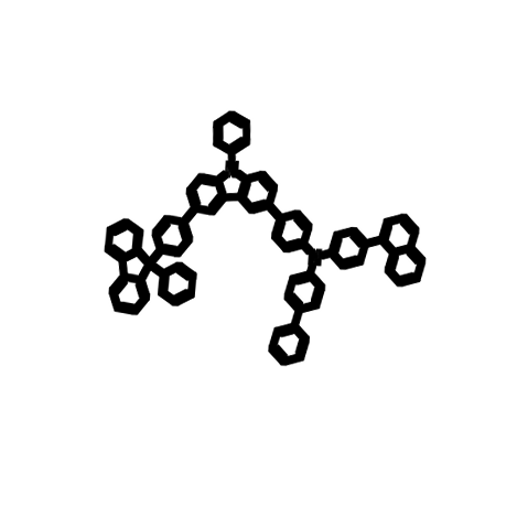 c1ccc(-c2ccc(N(c3ccc(-c4ccc5c(c4)c4cc(-c6ccc(C7(c8ccccc8)c8ccccc8-c8ccccc87)cc6)ccc4n5-c4ccccc4)cc3)c3ccc(-c4cccc5ccccc45)cc3)cc2)cc1